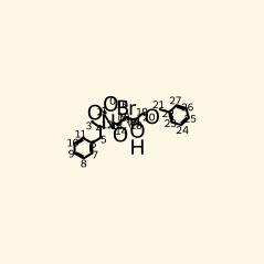 O=C1OCC(Cc2ccccc2)N1C(=O)[C@@H](Br)[C@H](O)COCc1ccccc1